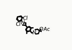 CC(=O)OC1(C)CCN(Cc2c(C)cc(C3CN(c4c(Cl)cccc4Cl)C3)cc2C)CC1